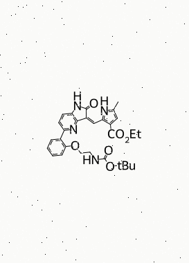 CCOC(=O)c1cc(C)[nH]c1/C=C1\C(=O)Nc2ccc(-c3ccccc3OCCNC(=O)OC(C)(C)C)nc21